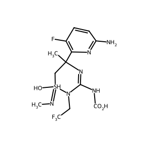 CN=[SH]1(O)CC(C)(c2nc(N)ccc2F)N=C(NC(=O)O)N1CC(F)(F)F